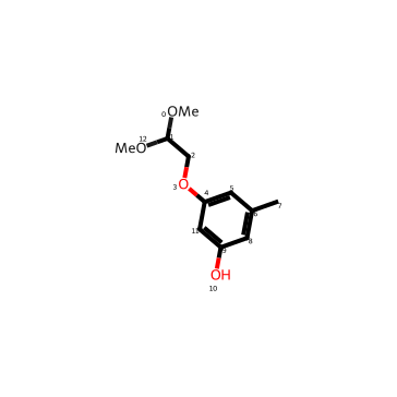 COC(COc1cc(C)cc(O)c1)OC